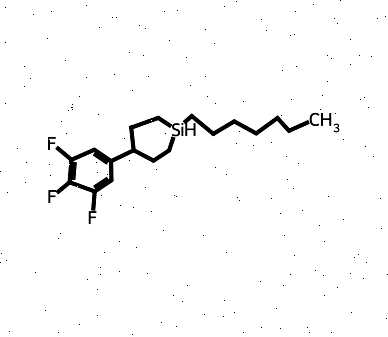 CCCCCCC[SiH]1CCC(c2cc(F)c(F)c(F)c2)CC1